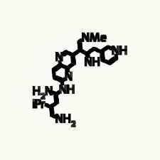 CN/C=C(\C(=N)CC1=CC=CNC1)c1cnc2ccc(N/C(N)=C/C(=C\N)C(C)C)nc2c1